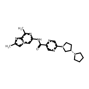 Cc1cn2cc(NC(=O)c3cnc(N4CC[C@H](N5CCCC5)C4)cn3)nc(C)c2n1